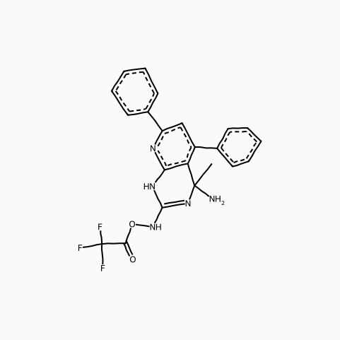 CC1(N)N=C(NOC(=O)C(F)(F)F)Nc2nc(-c3ccccc3)cc(-c3ccccc3)c21